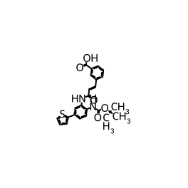 CC(C)(C)OC(=O)Nc1ccc(-c2cccs2)cc1NC(=O)C=Cc1cccc(C(=O)O)c1